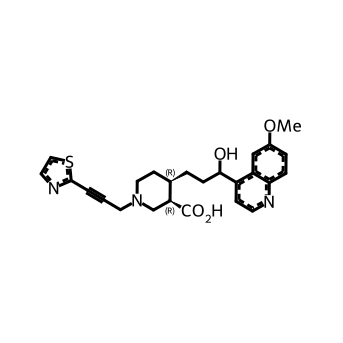 COc1ccc2nccc(C(O)CC[C@@H]3CCN(CC#Cc4nccs4)C[C@@H]3C(=O)O)c2c1